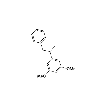 COc1cc(OC)cc(C(C)Cc2ccccc2)c1